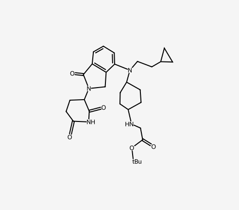 CC(C)(C)OC(=O)CNC1CCC(N(CCC2CC2)c2cccc3c2CN(C2CCC(=O)NC2=O)C3=O)CC1